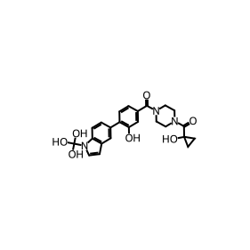 O=C(c1ccc(-c2ccc3c(ccn3C(O)(O)O)c2)c(O)c1)N1CCN(C(=O)C2(O)CC2)CC1